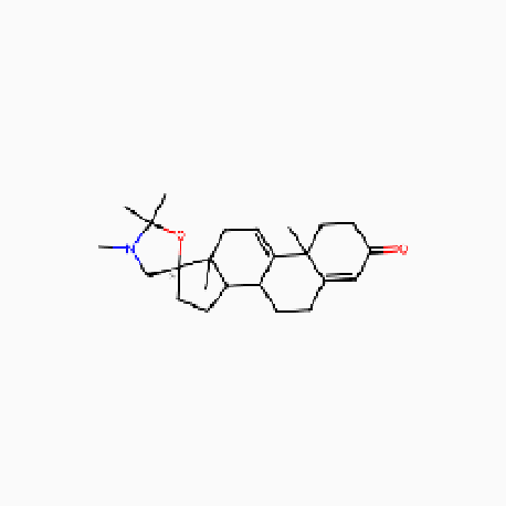 CN1C[C@@]2(CCC3C4CCC5=CC(=O)CCC5(C)C4=CCC32C)OC1(C)C